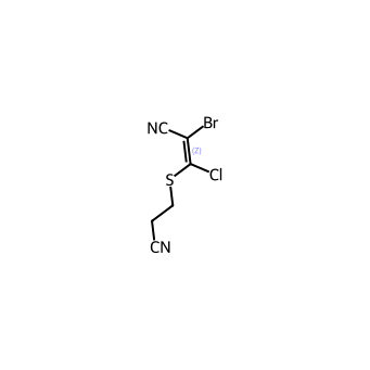 N#CCCS/C(Cl)=C(/Br)C#N